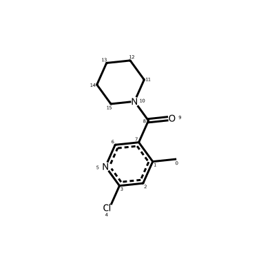 Cc1cc(Cl)ncc1C(=O)N1CCCCC1